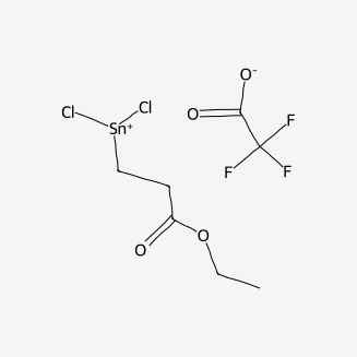 CCOC(=O)C[CH2][Sn+]([Cl])[Cl].O=C([O-])C(F)(F)F